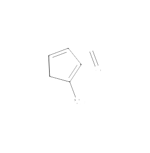 [C]=O.[Mn][C]1=CC=CC1